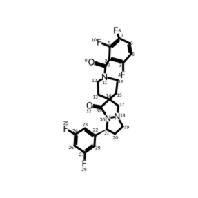 O=C(c1c(F)ccc(F)c1F)N1CCC2(CC1)CN1CC[C@@H](c3cc(F)cc(F)c3)N1C2=O